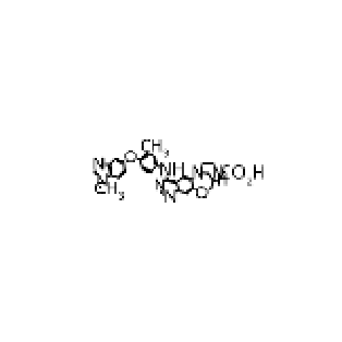 Cc1cc(Nc2ncnc3cc4c(cc23)N2CCN(C(=O)O)[C@H](CO4)C2)ccc1Oc1ccc2c(c1)ncn2C